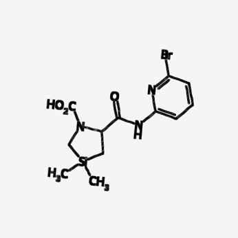 C[Si]1(C)CC(C(=O)Nc2cccc(Br)n2)N(C(=O)O)C1